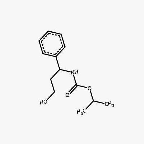 CC(C)OC(=O)NC(CCO)c1ccccc1